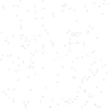 Cn1nc(CCN(C(=O)O)C(C)(C)C)cc1Br